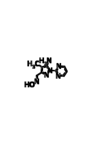 Cc1c(/C=N/O)nn(-c2ncccn2)c1N